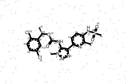 Cc1nc(-c2nnn(C)c2NC(=O)O[C@H](C)c2cc(Cl)ccc2Cl)ccc1NS(C)(=O)=O